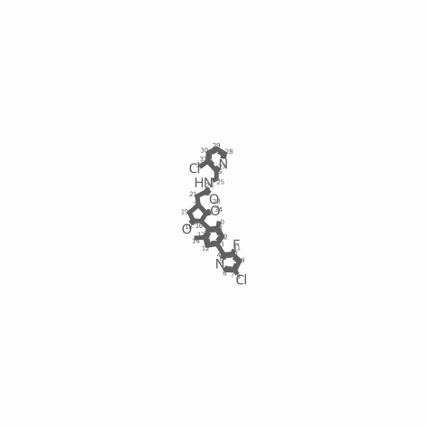 Cc1cc(-c2ncc(Cl)cc2F)cc(C)c1C1C(=O)CC(CC(=O)NCc2ncccc2Cl)C1=O